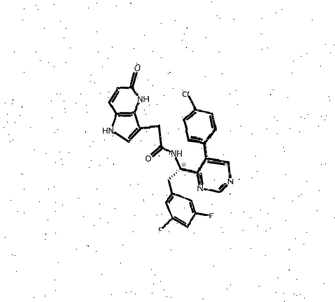 O=C(Cc1c[nH]c2ccc(=O)[nH]c12)N[C@@H](Cc1cc(F)cc(F)c1)c1ncncc1-c1ccc(Cl)cc1